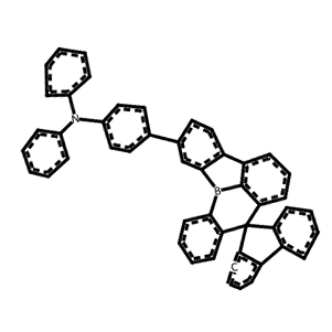 c1ccc(N(c2ccccc2)c2ccc(-c3ccc4c(c3)B3c5ccccc5C5(c6ccccc6-c6ccccc65)c5cccc-4c53)cc2)cc1